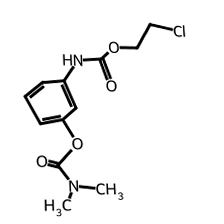 CN(C)C(=O)Oc1cccc(NC(=O)OCCCl)c1